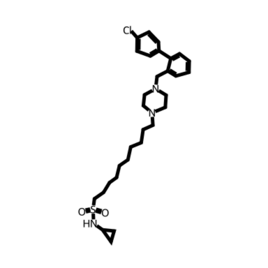 O=S(=O)(CCCCCCCCCCN1CCN(Cc2ccccc2-c2ccc(Cl)cc2)CC1)NC1CC1